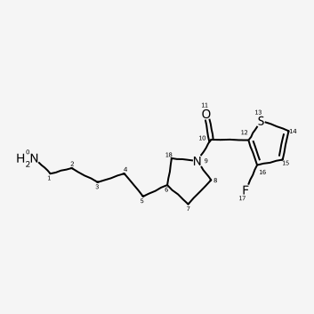 NCCCCCC1CCN(C(=O)c2sccc2F)C1